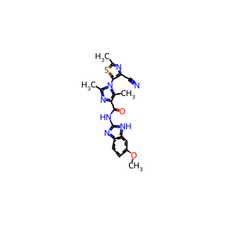 COc1ccc2nc(NC(=O)c3nc(C)n(-c4sc(C)nc4C#N)c3C)[nH]c2c1